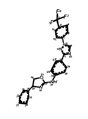 FC(F)(F)c1ccc(-n2cnc(-c3ccc(NC4=NC(c5ccccc5)CO4)cc3)n2)cc1